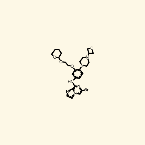 Brc1cn2ccnc2c(Nc2ccc(N3CCN(C4COC4)CC3)c(OCCOC3CCCCO3)c2)n1